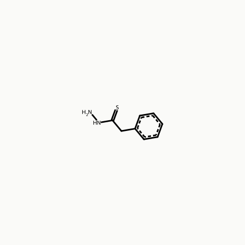 NNC(=S)Cc1ccccc1